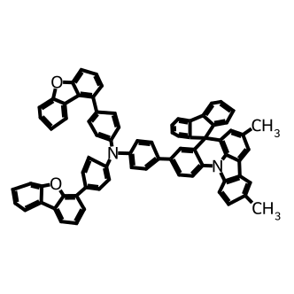 Cc1ccc2c(c1)c1cc(C)cc3c1n2-c1ccc(-c2ccc(N(c4ccc(-c5cccc6c5oc5ccccc56)cc4)c4ccc(-c5cccc6oc7ccccc7c56)cc4)cc2)cc1C31c2ccccc2-c2ccccc21